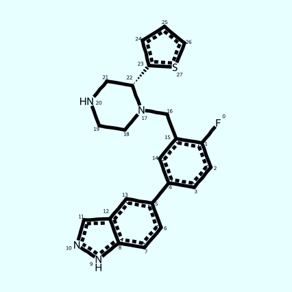 Fc1ccc(-c2ccc3[nH]ncc3c2)cc1CN1CCNC[C@@H]1c1cccs1